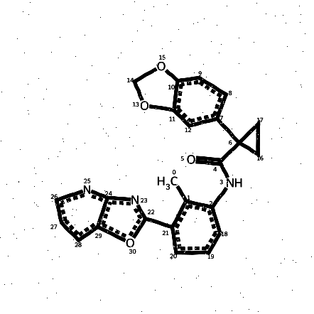 Cc1c(NC(=O)C2(c3ccc4c(c3)OCO4)CC2)cccc1-c1nc2ncccc2o1